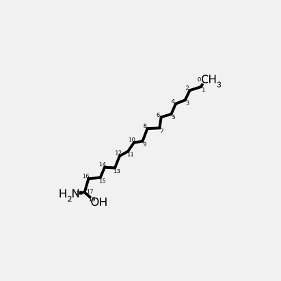 CCCCCCCCCCCCCCCCCC(N)O